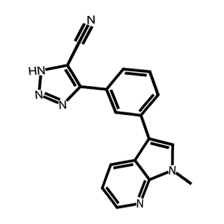 Cn1cc(-c2cccc(-c3nn[nH]c3C#N)c2)c2cccnc21